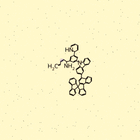 C=C/C=C\C(N)c1cc(C2C=CC=CN2)cc(-n2c3ccccc3c3cc(-c4cc5c(c6ccccc46)-c4ccccc4C54c5ccccc5-c5ccccc54)ccc32)c1